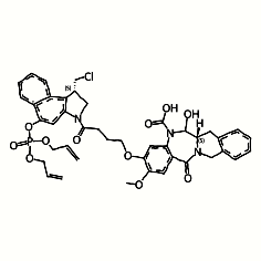 C=CCOP(=O)(OCC=C)Oc1cc2c(c3ccccc13)[C@H](CCl)CN2C(=O)CCCOc1cc2c(cc1OC)C(=O)N1Cc3ccccc3C[C@H]1C(O)N2C(=O)O